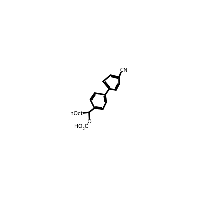 CCCCCCCCC(OC(=O)O)c1ccc(-c2ccc(C#N)cc2)cc1